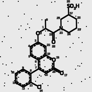 CC(Oc1ccc2c(-c3ccccc3Cl)cc(=O)oc2c1)C(=O)N1CCCC(S(=O)(=O)O)C1